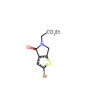 CCOC(=O)CN1Cc2sc(Br)cc2C1=O